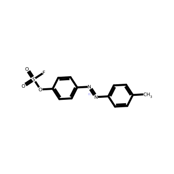 Cc1ccc(/N=N/c2ccc(OS(=O)(=O)F)cc2)cc1